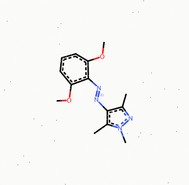 COc1cccc(OC)c1/N=N/c1c(C)nn(C)c1C